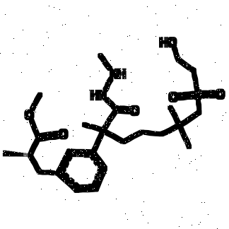 CNNC(=O)C(C)(CCCC(C)(C)CS(=O)(=O)CCO)c1cccc(C[C@H](C)C(=O)OC)c1